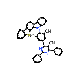 N#Cc1cc(-c2nc(-c3ccccc3)nc(-c3ccccc3)c2C#N)cc(C#N)c1-n1c2ccccc2c2ccc3c4ccccc4sc3c21